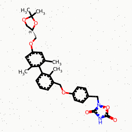 Cc1cc(OC[C@@H]2COC(C)(C)O2)cc(C)c1-c1cccc(COc2ccc(Cn3oc(=O)[nH]c3=O)cc2)c1C